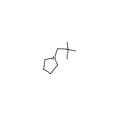 CC(C)(C)CN1C[CH]CC1